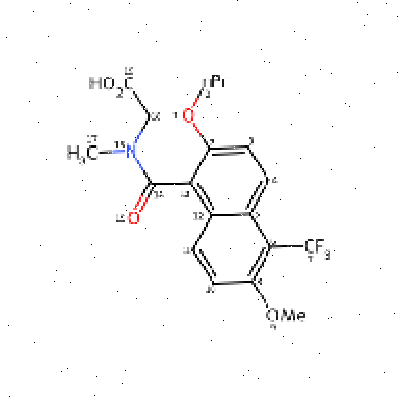 CCCOc1ccc2c(C(F)(F)F)c(OC)ccc2c1C(=O)N(C)CC(=O)O